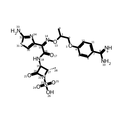 CC(COc1ccc(C(=N)N)cc1)O/N=C(\C(=O)N[C@@H]1C(=O)N(S(=O)(=O)O)[C@H]1C)c1csc(N)n1